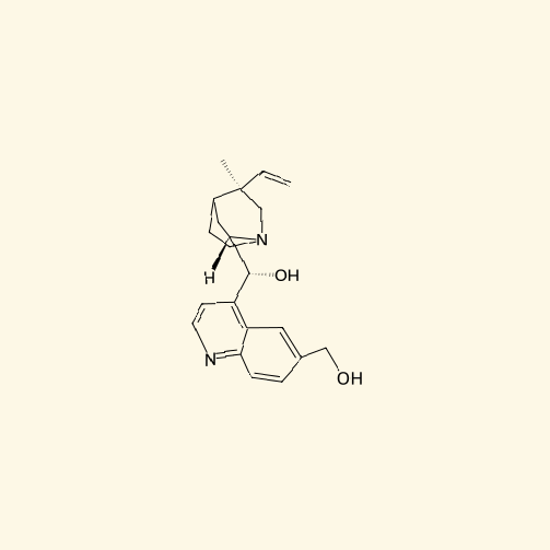 C=C[C@@]1(C)CN2CCC1C[C@H]2[C@H](O)c1ccnc2ccc(CO)cc12